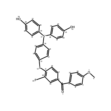 COc1ccc(C(=O)c2ccc(Sc3ccc([S+](c4ccc(O)cc4)c4ccc(O)cc4)cc3)c(F)c2)cc1